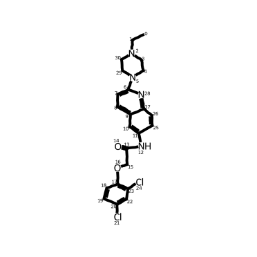 CCN1CCN(c2ccc3cc(NC(=O)COc4ccc(Cl)cc4Cl)ccc3n2)CC1